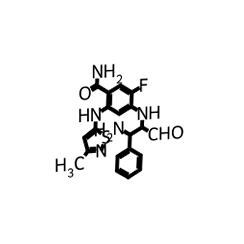 Cc1cc(Nc2cc(NC(C=O)C(N)c3ccccc3)c(F)cc2C(N)=O)sn1